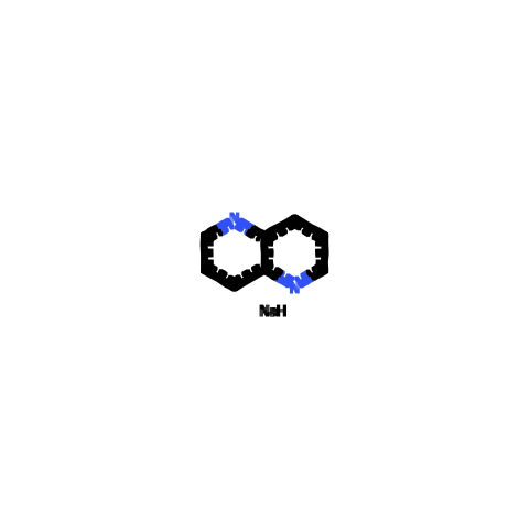 [NaH].c1cnc2cccnc2c1